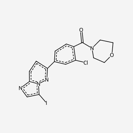 O=C(c1ccc(-c2ccc3ncc(I)n3n2)cc1Cl)N1CCOCC1